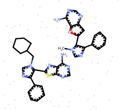 Cn1cnc(-c2ccccc2)c1-c1cc2ncnc(N)c2o1.Nc1ncnc2sc(-c3c(-c4ccccc4)ncn3CC3CCCCC3)nc12